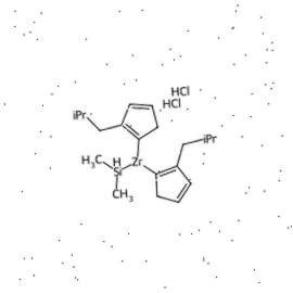 CC(C)CC1=[C]([Zr]([C]2=C(CC(C)C)C=CC2)[SiH](C)C)CC=C1.Cl.Cl